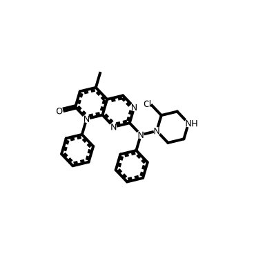 Cc1cc(=O)n(-c2ccccc2)c2nc(N(c3ccccc3)N3CCNCC3Cl)ncc12